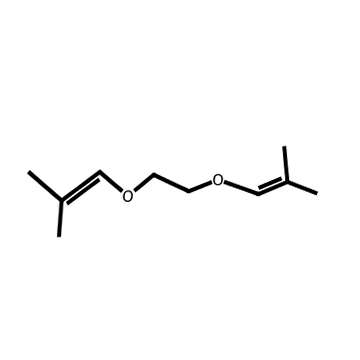 CC(C)=COCCOC=C(C)C